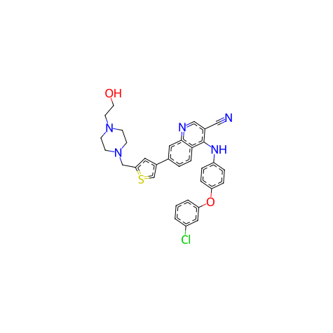 N#Cc1cnc2cc(-c3csc(CN4CCN(CCO)CC4)c3)ccc2c1Nc1ccc(Oc2cccc(Cl)c2)cc1